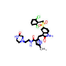 Cc1cc(C(=O)NCCN2CCNC(=O)C2)c(/C=C2\C(=O)Nc3ccc(S(=O)(=O)Cc4c(Cl)cccc4Cl)cc32)[nH]1